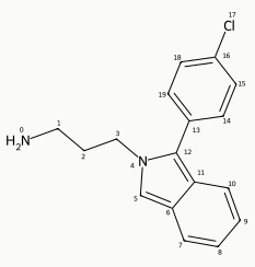 NCCCn1cc2ccccc2c1-c1ccc(Cl)cc1